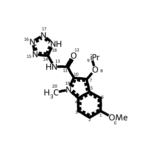 COc1ccc2c(c1)c(OC(C)C)c(C(=O)Nc1nnn[nH]1)n2C